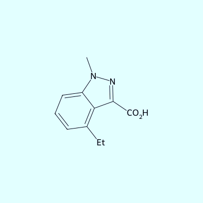 CCc1cccc2c1c(C(=O)O)nn2C